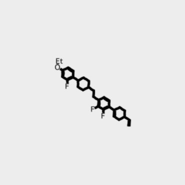 C=CC1CC=C(c2ccc(CCC3CCC(c4ccc(OCC)cc4F)CC3)c(F)c2F)CC1